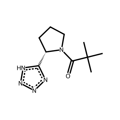 CC(C)(C)C(=O)N1CCC[C@H]1c1nnn[nH]1